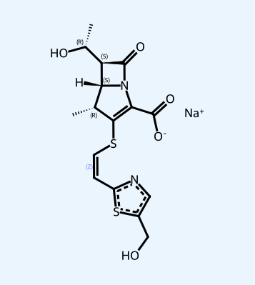 C[C@@H](O)[C@H]1C(=O)N2C(C(=O)[O-])=C(S/C=C\c3ncc(CO)s3)[C@H](C)[C@H]12.[Na+]